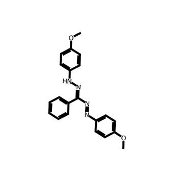 COc1ccc(/N=N/C(=N/Nc2ccc(OC)cc2)c2ccccc2)cc1